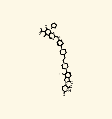 CC(=O)c1c(C)c2cnc(Nc3ccc(N4CCC(CCN5CCN(c6ccc7c(c6Cl)CN(C6CCC(=O)NC6=O)C7=O)CC5)CC4)cn3)nc2n(C2CCCC2)c1=O